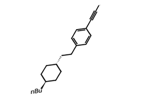 CCC#Cc1ccc(CC[C@H]2CC[C@H](CCCC)CC2)cc1